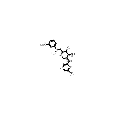 COc1cccc(N(C)CC2OCC(Nc3cncc(C(F)(F)F)n3)C(O)C2O)c1